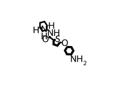 Nc1ccc(Oc2ccc(C(=O)N[C@@H]3C[C@H]4CC[C@@H]3N4)s2)cc1